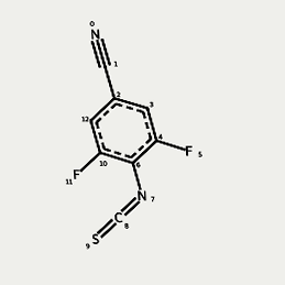 N#Cc1cc(F)c(N=C=S)c(F)c1